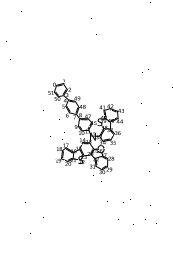 c1ccc(-c2ccc(-c3ccc(N(c4cc5c6ccccc6sc5c5c4oc4ccccc45)c4cccc5c4sc4ccccc45)cc3)cc2)cc1